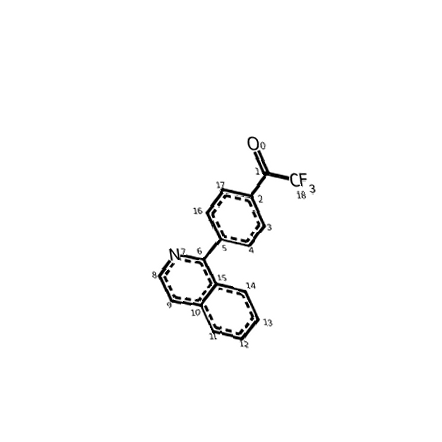 O=C(c1ccc(-c2nccc3ccccc23)cc1)C(F)(F)F